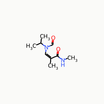 CNC(=O)/C(C)=C\N(C=O)C(C)C